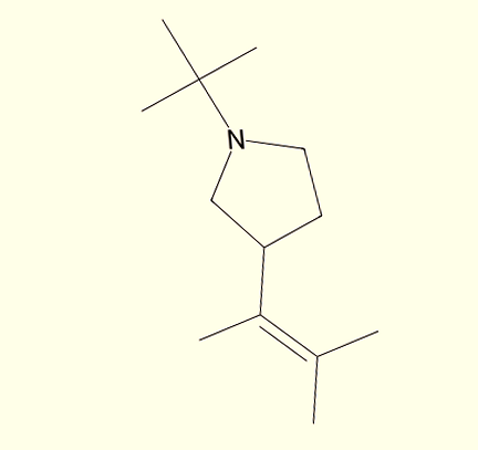 CC(C)=C(C)C1CCN(C(C)(C)C)C1